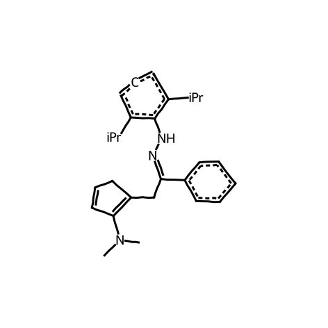 CC(C)c1cccc(C(C)C)c1NN=C(CC1=C(N(C)C)C=CC1)c1ccccc1